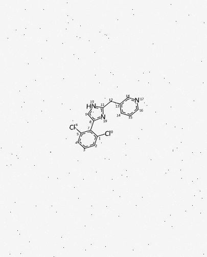 Clc1cccc(Cl)c1-c1c[nH]c(Cc2cccnc2)n1